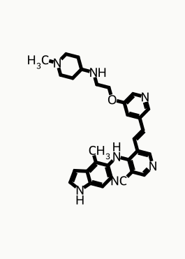 Cc1c(Nc2c(C#N)cncc2C=Cc2cncc(OCCNC3CCN(C)CC3)c2)ccc2[nH]ccc12